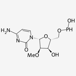 CO[C@@H]1[C@H](O)[C@@H](COPO)O[C@H]1n1ccc(N)nc1=O